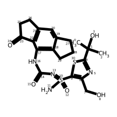 CC(C)(O)c1nc(CO)c(S(N)(=O)=NC(=O)Nc2c3c(cc4c2C(=O)CC4)CCC3)s1